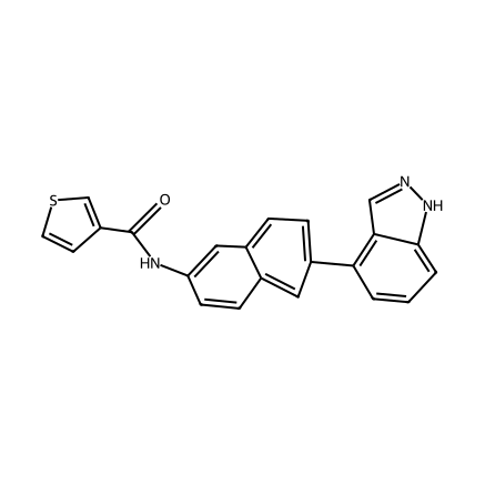 O=C(Nc1ccc2cc(-c3cccc4[nH]ncc34)ccc2c1)c1ccsc1